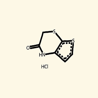 Cl.O=C1CSc2sccc2N1